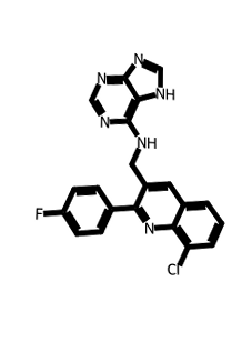 Fc1ccc(-c2nc3c(Cl)cccc3cc2CNc2ncnc3nc[nH]c23)cc1